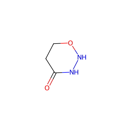 O=C1CCONN1